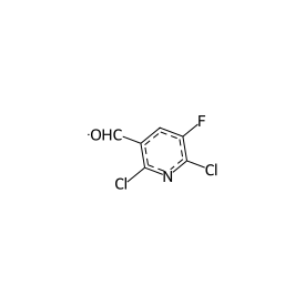 O=[C]c1cc(F)c(Cl)nc1Cl